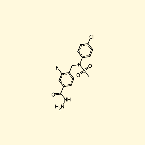 CS(=O)(=O)N(Cc1ccc(C(=O)NN)cc1F)c1ccc(Cl)cc1